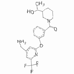 CC(O)C1CCCN(C(=O)c2cccc(Oc3cc(CN)cc(C(F)(F)F)n3)c2)C1